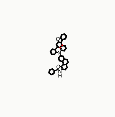 c1ccc(C2Nc3ccc4ccc5cc(N(c6ccccc6)c6ccccc6-c6ccc7c(c6)oc6ccccc67)ccc5c4c3O2)cc1